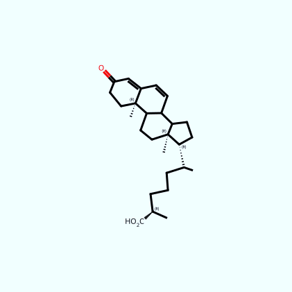 CC(CCC[C@@H](C)C(=O)O)[C@H]1CCC2C3C=CC4=CC(=O)CC[C@]4(C)C3CC[C@@]21C